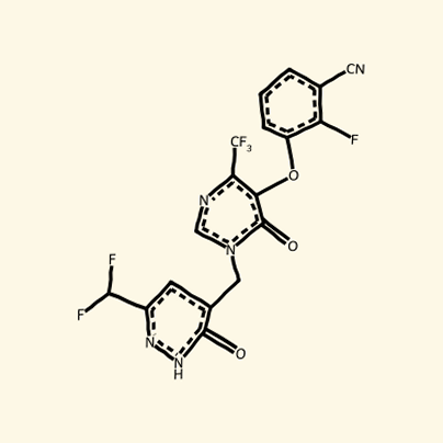 N#Cc1cccc(Oc2c(C(F)(F)F)ncn(Cc3cc(C(F)F)n[nH]c3=O)c2=O)c1F